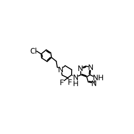 FC1(F)CN(CCc2ccc(Cl)cc2)CC[C@@H]1Nc1ncnc2[nH]ncc12